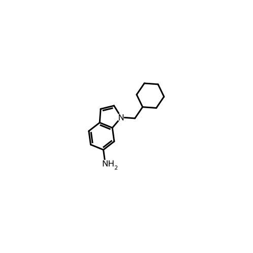 Nc1ccc2ccn(CC3CCCCC3)c2c1